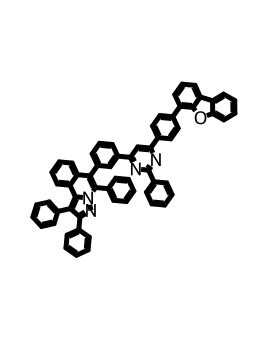 c1ccc(-c2nc(-c3ccc(-c4cccc5c4oc4ccccc45)cc3)cc(-c3cccc(-c4c(-c5ccccc5)n5nc(-c6ccccc6)c(-c6ccccc6)c5c5ccccc45)c3)n2)cc1